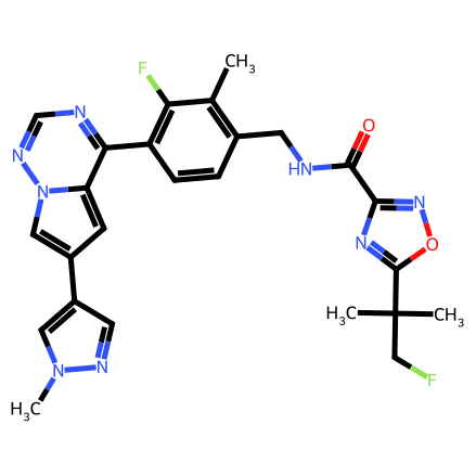 Cc1c(CNC(=O)c2noc(C(C)(C)CF)n2)ccc(-c2ncnn3cc(-c4cnn(C)c4)cc23)c1F